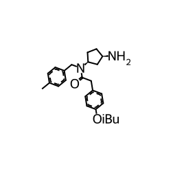 Cc1ccc(CN(C(=O)Cc2ccc(OCC(C)C)cc2)[C@H]2CC[C@@H](N)C2)cc1